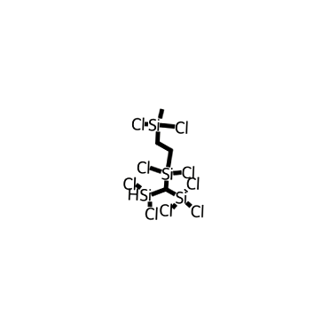 C[Si](Cl)(Cl)CC[Si](Cl)(Cl)C([SiH](Cl)Cl)[Si](Cl)(Cl)Cl